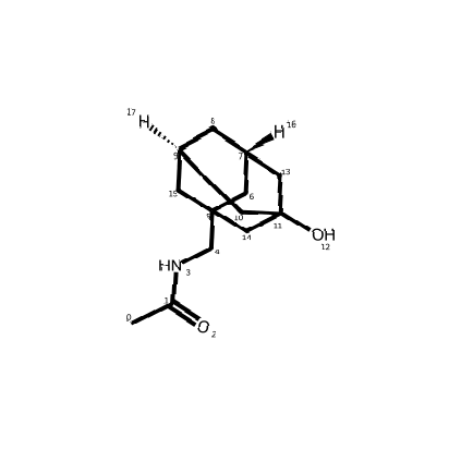 CC(=O)NCC12C[C@@H]3C[C@@H](CC(O)(C3)C1)C2